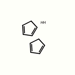 C1=CCC=C1.C1=CCC=C1.[HH]